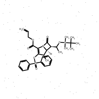 C=CCOC(=O)C1=C(OP(=O)(c2ccccc2)c2ccccc2)[C@H](C)[C@@H]2[C@H](C(C)O[Si](C)(C)C(C)(C)C)C(=O)N12